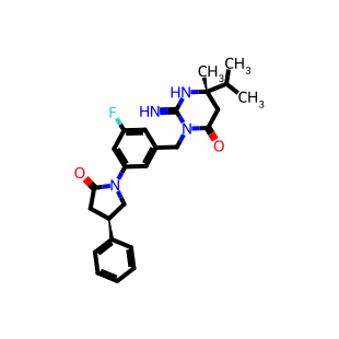 CC(C)[C@]1(C)CC(=O)N(Cc2cc(F)cc(N3C[C@@H](c4ccccc4)CC3=O)c2)C(=N)N1